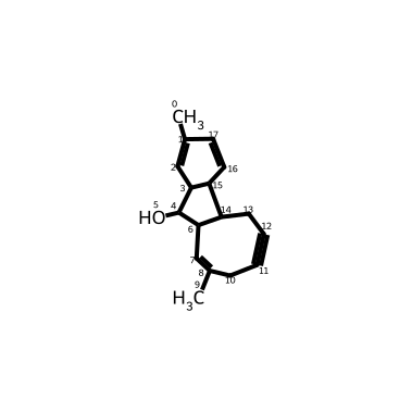 CC1=CC2C(O)C3/C=C(/C)CC#CCC3C2C=C1